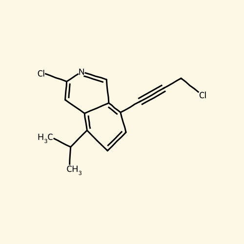 CC(C)c1ccc(C#CCCl)c2cnc(Cl)cc12